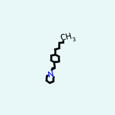 CCCCCC1CCC(C=CN2CCCCC2)CC1